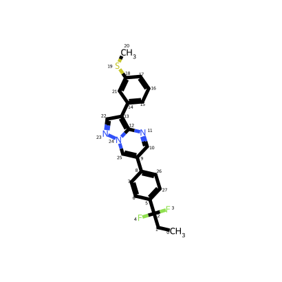 CCC(F)(F)c1ccc(-c2cnc3c(-c4cccc(SC)c4)cnn3c2)cc1